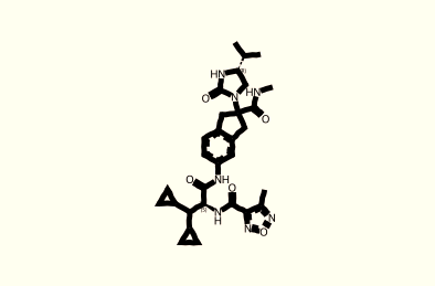 CNC(=O)C1(N2C[C@@H](C(C)C)NC2=O)Cc2ccc(NC(=O)[C@@H](NC(=O)c3nonc3C)C(C3CC3)C3CC3)cc2C1